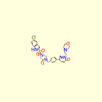 O=C1CN(S(=O)(=O)c2cc3cc(Cl)ccc3[nH]2)CCN1Cc1ccc(-c2ccc(=O)n(CCN3CCOCC3)n2)cc1